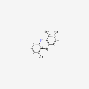 CCc1cccc(Nc2cccc(CC)c2CC)c1CC